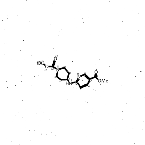 COC(=O)c1ccc(NC2CCN(C(=O)OC(C)(C)C)CC2)nc1